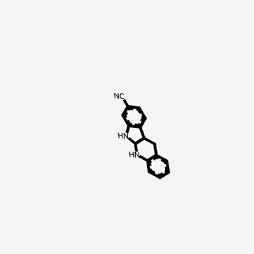 N#Cc1ccc2c(c1)NC1Nc3ccccc3CC21